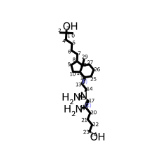 CC(C)(O)CCCCC1CCC2/C(=C/CN(N)/C=C(\N)CCCCO)CCCC12C